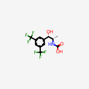 C[C@H](NC(=O)O)[C@@H](O)c1cc(C(F)(F)F)cc(C(F)(F)F)c1